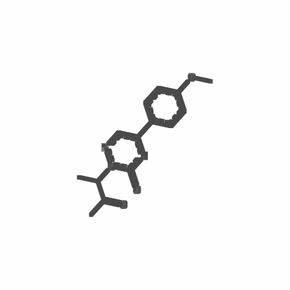 COc1ccc(-c2cnn(C(C)C(C)=O)c(=O)n2)cc1